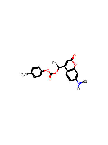 CCN(CC)c1ccc2c(C(OC(=O)Oc3ccc([N+](=O)[O-])cc3)C(C)C)cc(=O)oc2c1